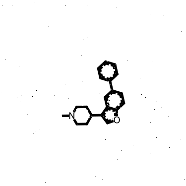 CN1CCC(c2coc3ccc(-c4ccccc4)cc23)CC1